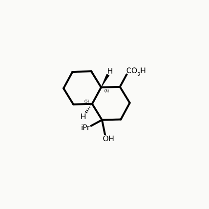 CC(C)C1(O)CCC(C(=O)O)[C@H]2CCCC[C@@H]21